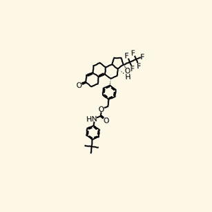 CC(C)(C)c1ccc(NC(=O)OCc2ccc([C@H]3C[C@@]4(C)C(CC[C@@]4(O)C(F)(F)C(F)(F)F)C4CCC5=CC(=O)CCC5=C43)cc2)cc1